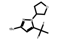 CC(C)(C)c1cc(C(C)(F)F)n(C2CCOC2)n1